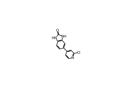 O=c1[nH]c2ccc(-c3ccnc(Cl)c3)cc2[nH]1